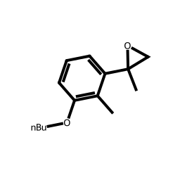 CCCCOc1cccc(C2(C)CO2)c1C